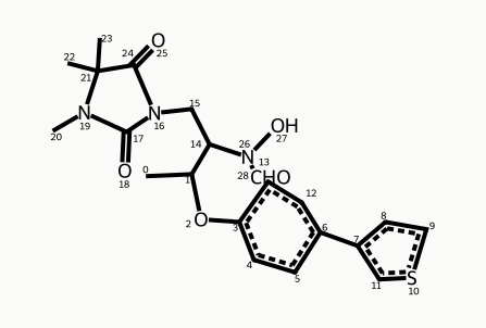 CC(Oc1ccc(-c2ccsc2)cc1)C(CN1C(=O)N(C)C(C)(C)C1=O)N(O)C=O